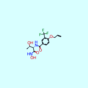 C=CCOc1ccc(C(=O)N[C@H](C(=O)NO)[C@@H](C)O)cc1C(F)(F)F